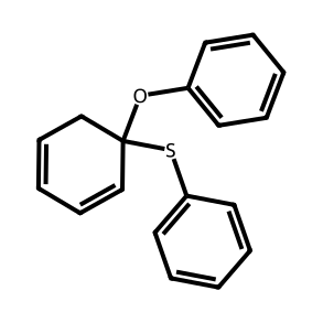 C1=CCC(Oc2ccccc2)(Sc2ccccc2)C=C1